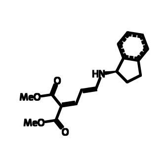 COC(=O)C(=C/C=C/N[C@@H]1CCc2ccccc21)C(=O)OC